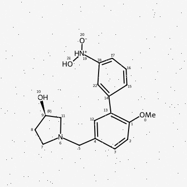 COc1ccc(CN2CC[C@@H](O)C2)cc1-c1cccc([NH+]([O-])O)c1